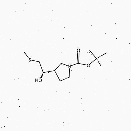 CSC[C@H](O)C1CCN(C(=O)OC(C)(C)C)C1